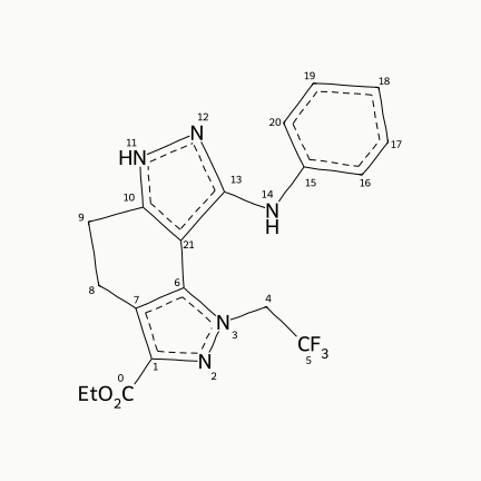 CCOC(=O)c1nn(CC(F)(F)F)c2c1CCc1[nH]nc(Nc3ccccc3)c1-2